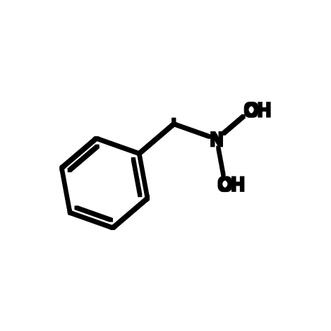 ON(O)[CH]c1ccccc1